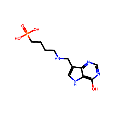 O=P(O)(O)CCCCNCc1c[nH]c2c(O)ncnc12